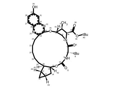 C[C@@H]1[C@@H]2CN(C(=O)[C@H](C(C)(C)C)NC(=O)O[C@@H]3C[C@@H]4C[C@@H]4[C@H]3CCCCCc3nc4ccc(O)cc4nc3O2)[C@@H]1C(=O)OC(C)(C)C